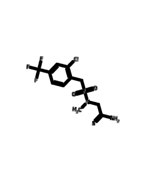 CN(CC(N)=S)S(=O)(=O)Cc1ccc(C(F)(F)F)cc1Cl